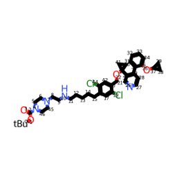 CC(C)(C)OC(=O)N1CCN(CCNCCCCCc2cc(Cl)c(COC3(c4cnccc4-c4ccccc4OC4CC4)CC3)cc2Cl)CC1